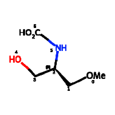 COC[C@@H](CO)NC(=O)O